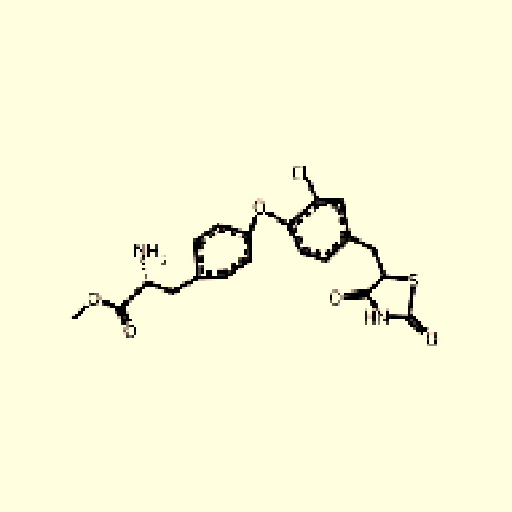 COC(=O)[C@H](N)Cc1ccc(Oc2ccc(CC3SC(=O)NC3=O)cc2Cl)cc1